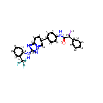 O=C(Nc1ccc(-c2ccc3nc(Nc4ccccc4C(F)(F)F)nn3c2)cc1)C(I)c1ccccc1